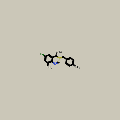 Cc1cc(Cl)cc2c1N=C[SH](Cc1ccc(C(F)(F)F)cc1)C2C=O